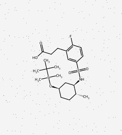 C[C@@H]1CC[C@@H](O[Si](C)(C)C(C)(C)C)C[C@H]1NS(=O)(=O)c1ccc(F)c(CCC(=O)O)c1